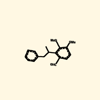 COc1ccc(C=O)c(C(C)Cc2ccccc2)c1OC